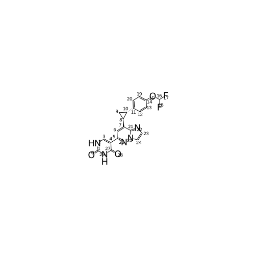 O=c1[nH]cc(-c2cc([C@H]3C[C@@H]3c3ccc(OC(F)F)cc3)c3nccn3n2)c(=O)[nH]1